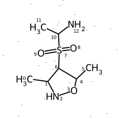 CC1NOC(C)C1S(=O)(=O)C(C)N